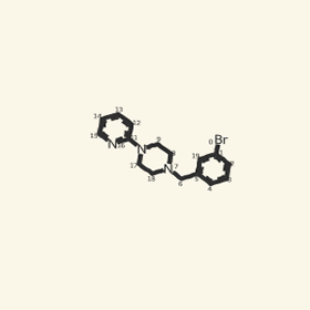 Brc1cccc(CN2CCN(c3ccccn3)CC2)c1